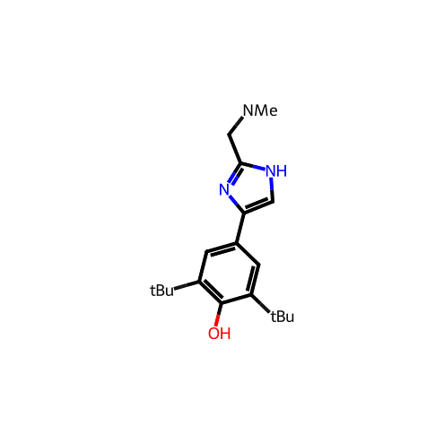 CNCc1nc(-c2cc(C(C)(C)C)c(O)c(C(C)(C)C)c2)c[nH]1